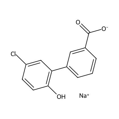 O=C([O-])c1cccc(-c2cc(Cl)ccc2O)c1.[Na+]